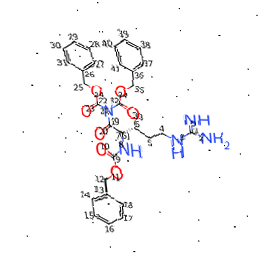 N=C(N)NCCC[C@H](NC(=O)OCc1ccccc1)C(=O)N(C(=O)OCc1ccccc1)C(=O)OCc1ccccc1